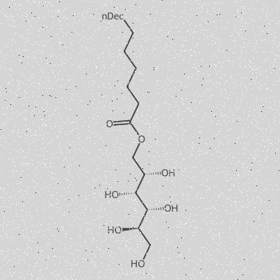 CCCCCCCCCCCCCCCC(=O)OC[C@H](O)[C@@H](O)[C@H](O)[C@H](O)CO